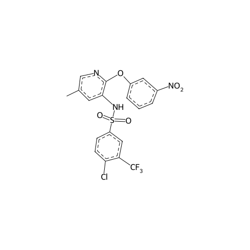 Cc1cnc(Oc2cccc([N+](=O)[O-])c2)c(NS(=O)(=O)c2ccc(Cl)c(C(F)(F)F)c2)c1